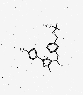 CCOC(=O)C(C)(C)OCc1cccc(OC(CC)c2sc(-c3ccc(C(F)(F)F)cc3)nc2C)c1